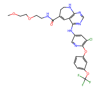 COCCOCCNC(=O)C1=Cc2c(ncnc2Nc2cnc(Oc3cccc(OC(F)(F)F)c3)c(Cl)c2)NCC1